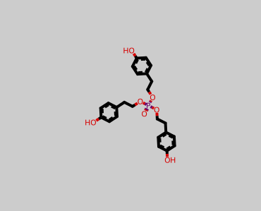 O=P(OCCc1ccc(O)cc1)(OCCc1ccc(O)cc1)OCCc1ccc(O)cc1